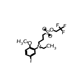 CCN(CCCS(=O)(=O)OCC(F)(F)F)c1cc(I)ccc1OC